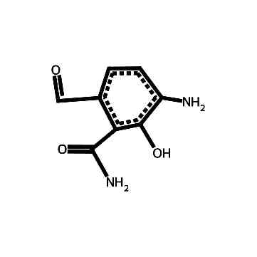 NC(=O)c1c(C=O)ccc(N)c1O